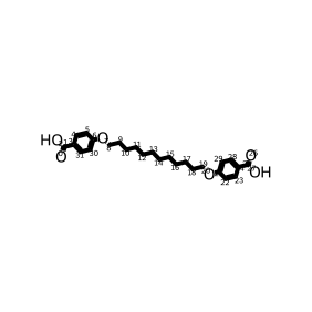 O=C(O)c1ccc(OCCCCCCCCCCCCOc2ccc(C(=O)O)cc2)cc1